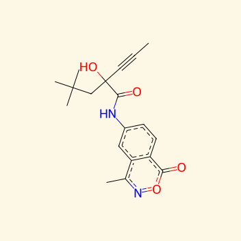 CC#CC(O)(CC(C)(C)C)C(=O)Nc1ccc2c(=O)onc(C)c2c1